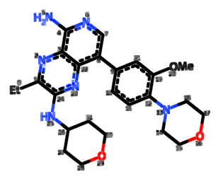 CCc1nc2c(N)ncc(-c3ccc(N4CCOCC4)c(OC)c3)c2nc1NC1CCOCC1